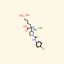 Cl.Cl.NC(CCCCB(O)O)(C(=O)O)C1CCN(C(=S)Nc2ccc(Cl)cc2)C1